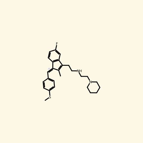 CSc1ccc(/C=C2\C(C)=C(CCNCCN3CCCCC3)c3cc(F)ccc32)cc1